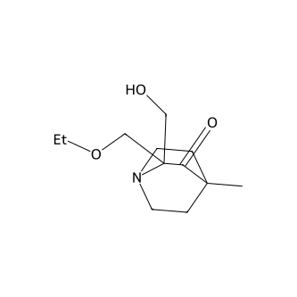 CCOCC1(CO)C(=O)C2(C)CCN1CC2